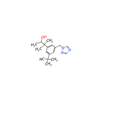 CC(O)C(C)(C)c1cc(Cn2cncn2)cc(C(C)(C)C#N)c1